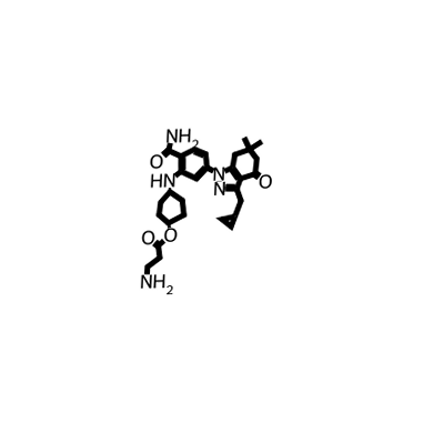 CC1(C)CC(=O)c2c(CC3CC3)nn(-c3ccc(C(N)=O)c(N[C@H]4CC[C@H](OC(=O)CCN)CC4)c3)c2C1